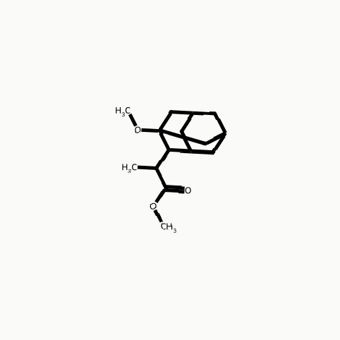 COC(=O)C(C)C1C2CC3CC(C2)CC1(OC)C3